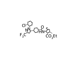 CCOC(=O)c1c(C)csc1NC(=O)c1ccc(-c2cc(C(F)(F)F)nn2-c2ccccc2Cl)cc1